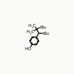 CC(C)(C)C(c1ccc(O)cc1)C(C)(C)C(C)(C)C